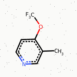 Cc1[c]nccc1OC(F)(F)F